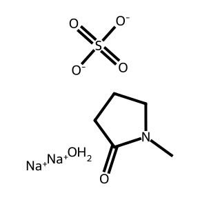 CN1CCCC1=O.O.O=S(=O)([O-])[O-].[Na+].[Na+]